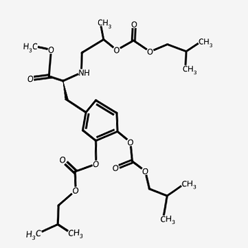 COC(=O)[C@H](Cc1ccc(OC(=O)OCC(C)C)c(OC(=O)OCC(C)C)c1)NCC(C)OC(=O)OCC(C)C